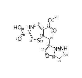 COC(=O)C1=CNC(C(=O)O)=CSC1CC1=COC2CCNN12